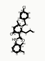 CCCc1c(C(=O)Nc2cccc(C)c2C)c(=O)cc(C)n1Cc1ccc(Cl)cc1